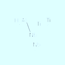 [AlH2][Nb].[Nb].[Ti].[Ti]